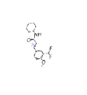 COc1ccc(/C=C/C(=O)NC2CCCCC2)cc1C(F)F